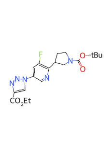 CCOC(=O)c1cn(-c2cnc(C3CCN(C(=O)OC(C)(C)C)C3)c(F)c2)nn1